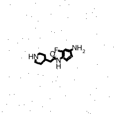 Nc1ccc(NC(=O)CC2CCNCC2)c(F)c1